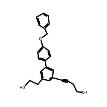 OCCC#Cc1cc(CCO)cc(-c2ccc(OCc3ccccc3)cc2)c1